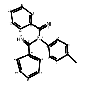 Cc1ccc(N(C(=N)c2ccccc2)C(=N)c2ccccc2)cc1